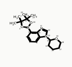 CC1(C)OB(c2cccc3c2ncn3C2CCCCO2)OC1(C)C